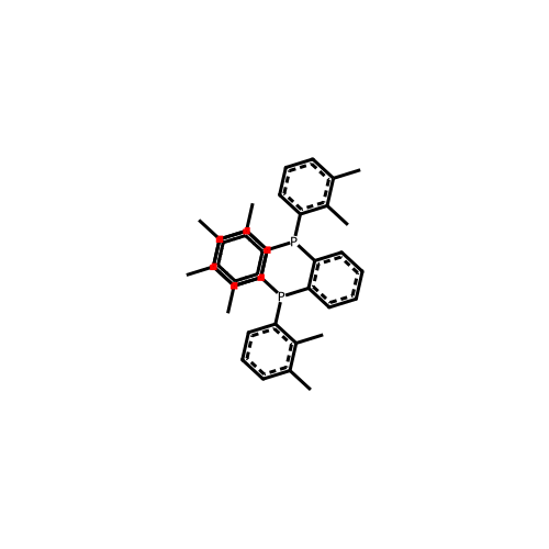 Cc1cccc(P(c2ccccc2P(c2cccc(C)c2C)c2cccc(C)c2C)c2cccc(C)c2C)c1C